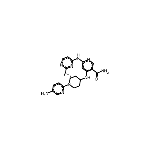 Cc1nccc(Nc2cc(NC3CCN(c4ccc(N)cn4)CC3)c(C(N)=O)cn2)n1